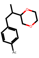 CC(=O)c1ccc(CC(C)C2COCCO2)cc1